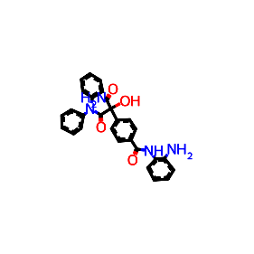 NC(=O)C(O)(C(=O)N(c1ccccc1)c1ccccc1)c1ccc(C(=O)Nc2ccccc2N)cc1